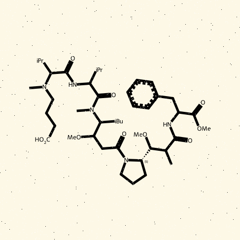 CCC(C)C(C(CC(=O)N1CCC[C@H]1C(OC)C(C)C(=O)NC(Cc1ccccc1)C(=O)OC)OC)N(C)C(=O)C(NC(=O)C(C(C)C)N(C)CCCC(=O)O)C(C)C